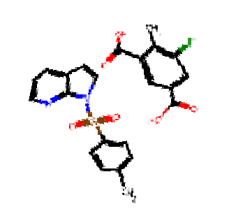 Cc1c(F)cc(C(=O)O)cc1C(=O)O.Cc1ccc(S(=O)(=O)n2ccc3cccnc32)cc1